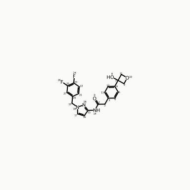 O=C(Cc1ccc(C2(O)COC2)cc1)Nc1ccn(Cc2ccc(F)c(F)c2)n1